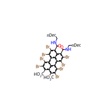 CCCCCCCCCCCNC(=O)c1c(Br)c(Br)c2c3c(Br)c(Br)c(C(=O)O)c4c(C(=O)O)c(Br)c(Br)c(c5c(Br)c(Br)c(C(=O)NCCCCCCCCCCC)c1c25)c43